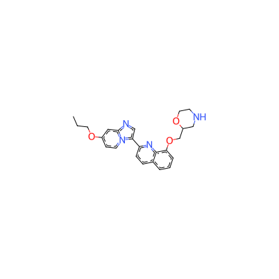 CCCOc1ccn2c(-c3ccc4cccc(OCC5CNCCO5)c4n3)cnc2c1